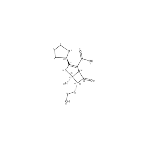 O=C(O)C1=C([C@H]2CCCO2)S[C@@H]2[C@@H](CCO)C(=O)N12